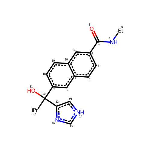 CCNC(=O)c1ccc2cc(C(O)(c3c[nH]cn3)C(C)C)ccc2c1